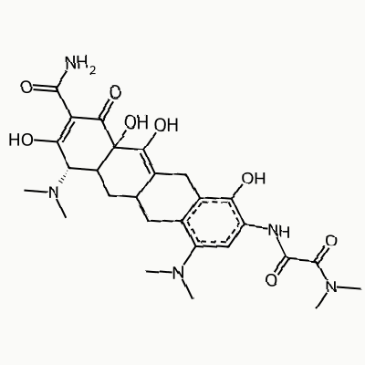 CN(C)C(=O)C(=O)Nc1cc(N(C)C)c2c(c1O)CC1=C(O)C3(O)C(=O)C(C(N)=O)=C(O)[C@@H](N(C)C)C3CC1C2